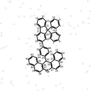 c1ccc(C2(c3ccccc3)c3ccccc3-c3ccc(-c4ccc(C5c6c(ccc7ccccc67)Sc6ccc7ccccc7c65)cc4)cc32)cc1